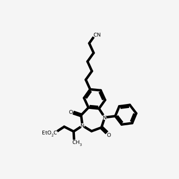 CCOC(=O)CC(C)N1CC(=O)N(c2ccccc2)c2ccc(CCCCCC#N)cc2C1=O